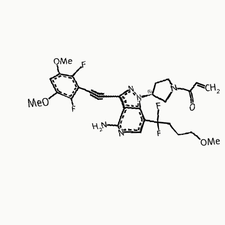 C=CC(=O)N1CC[C@H](n2nc(C#Cc3c(F)c(OC)cc(OC)c3F)c3c(N)ncc(C(F)(F)CCCOC)c32)C1